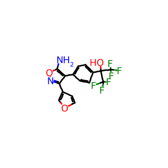 Nc1onc(-c2ccoc2)c1-c1ccc(C(O)(C(F)(F)F)C(F)(F)F)cc1